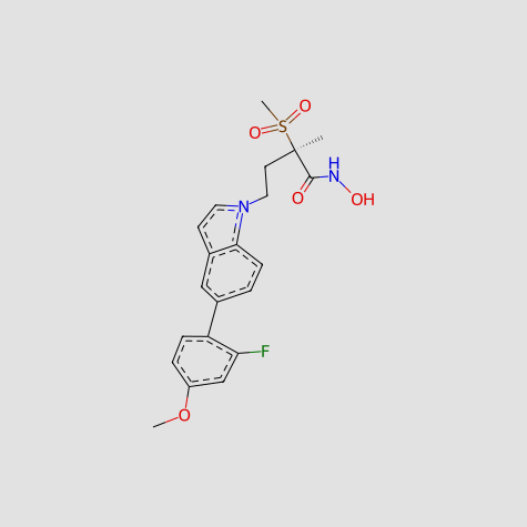 COc1ccc(-c2ccc3c(ccn3CC[C@](C)(C(=O)NO)S(C)(=O)=O)c2)c(F)c1